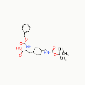 CC(C)(C)OC(=O)NC[C@H]1CC[C@H](C[C@H](NC(=O)OCc2ccccc2)C(=O)O)CC1